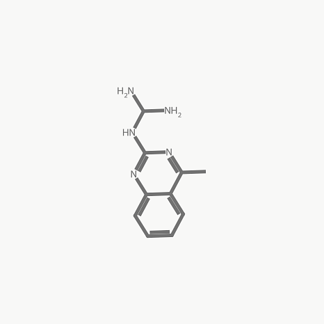 Cc1nc(NC(N)N)nc2ccccc12